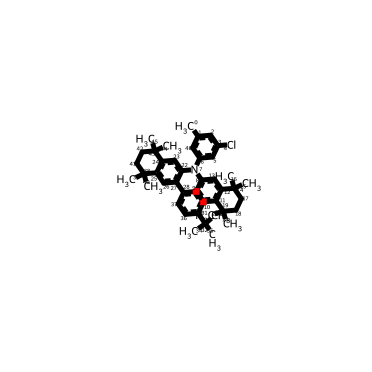 Cc1cc(Cl)cc(N(c2ccc3c(c2)C(C)(C)CCC3(C)C)c2cc3c(cc2-c2ccc(C(C)(C)C)cc2)C(C)(C)CCC3(C)C)c1